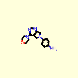 Nc1ccc(N2Cc3ncnc(N4CCOCC4)c3C2)cc1